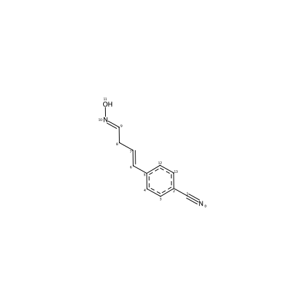 N#Cc1ccc(C=CCC=NO)cc1